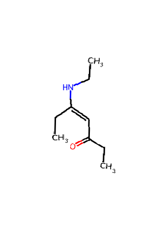 CCNC(=CC(=O)CC)CC